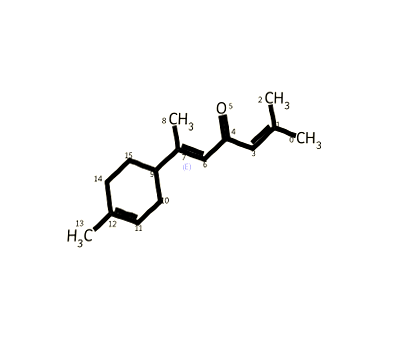 CC(C)=CC(=O)/C=C(\C)C1CC=C(C)CC1